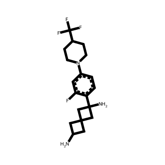 NC1CC2(C1)CC(N)(c1ccc(N3CCC(C(F)(F)F)CC3)cc1F)C2